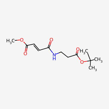 COC(=O)C=CC(=O)NCCC(=O)OC(C)(C)C